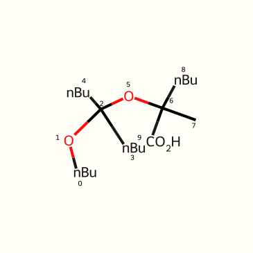 CCCCOC(CCCC)(CCCC)OC(C)(CCCC)C(=O)O